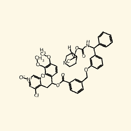 COc1ccc(C(Cc2c(Cl)c[n+]([O-])cc2Cl)OC(=O)c2cccc(COc3cccc(C(NC(=O)O[C@H]4CN5CCC4CC5)c4ccccc4)c3)c2)cc1OC